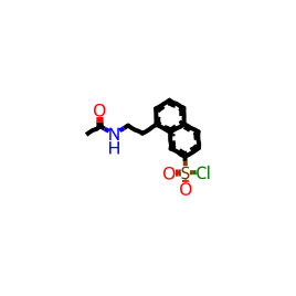 CC(=O)NCCc1cccc2ccc(S(=O)(=O)Cl)cc12